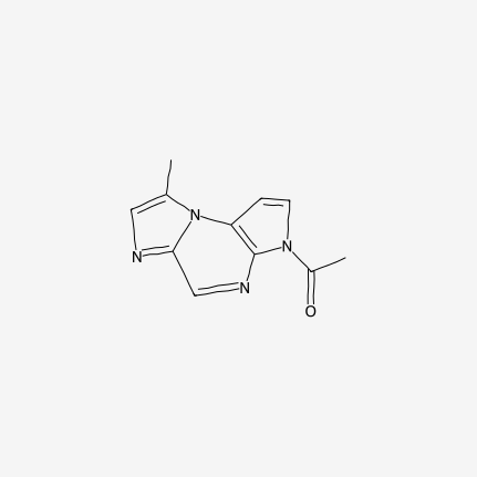 CC(=O)n1ccc2c1ncc1ncc(C)n12